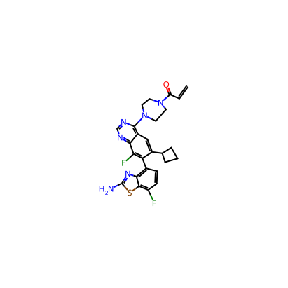 C=CC(=O)N1CCN(c2ncnc3c(F)c(-c4ccc(F)c5sc(N)nc45)c(C4CCC4)cc23)CC1